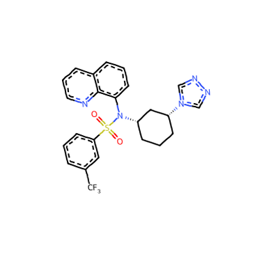 O=S(=O)(c1cccc(C(F)(F)F)c1)N(c1cccc2cccnc12)[C@H]1CCC[C@@H](n2cnnc2)C1